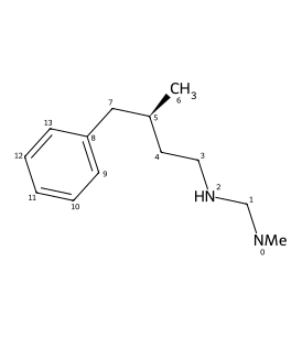 CNCNCC[C@H](C)Cc1ccccc1